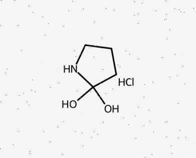 Cl.OC1(O)CCCN1